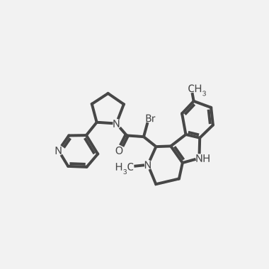 Cc1ccc2[nH]c3c(c2c1)C(C(Br)C(=O)N1CCCC1c1cccnc1)N(C)CC3